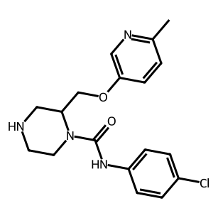 Cc1ccc(OCC2CNCCN2C(=O)Nc2ccc(Cl)cc2)cn1